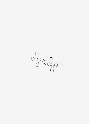 Cc1ccccc1N(c1ccc(C(C)(C)C)cc1)c1cc2oc3cc4c(cc3c2c2c1oc1ccccc12)oc1cc(N(c2ccc(C(C)(C)C)cc2)c2ccccc2C)c2oc3ccccc3c2c14